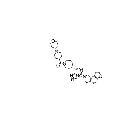 O=C(C1CCN(C2CCOCC2)CC1)N1CCC[C@H](c2cnc(NCc3c(F)ccc4c3CCO4)n3cnnc23)CC1